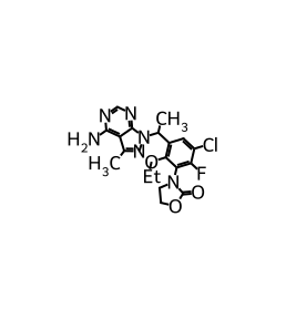 CCOc1c(C(C)n2nc(C)c3c(N)ncnc32)cc(Cl)c(F)c1N1CCOC1=O